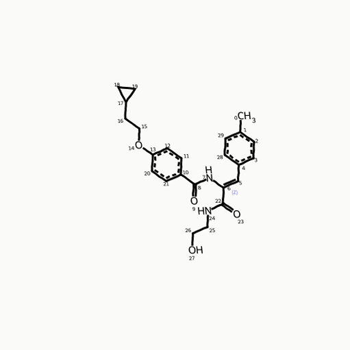 Cc1ccc(/C=C(\NC(=O)c2ccc(OCCC3CC3)cc2)C(=O)NCCO)cc1